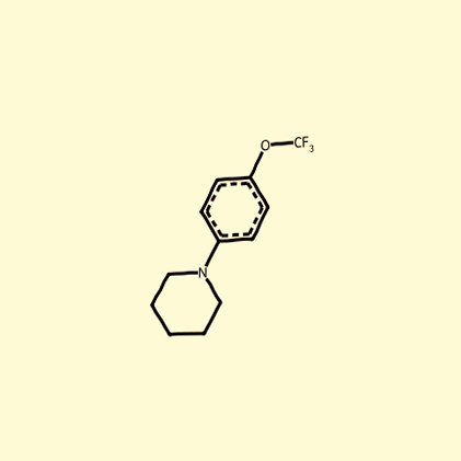 FC(F)(F)Oc1ccc(N2CCCCC2)cc1